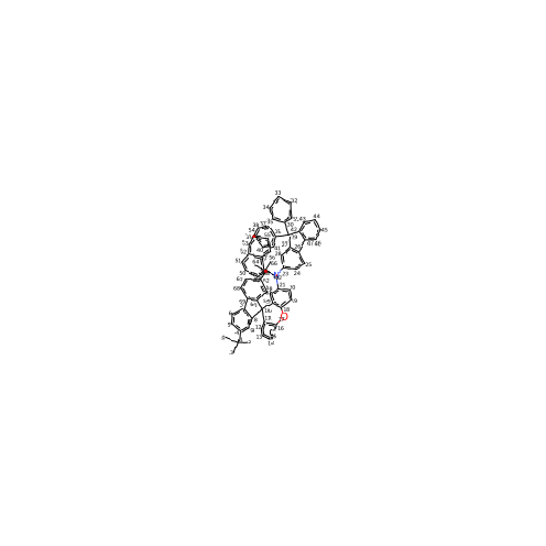 CC(C)(C)c1ccc2c(c1)C1(c3ccccc3Oc3ccc(N(c4ccc5c(c4)C(c4ccccc4)(c4ccccc4)c4ccccc4-5)c4cccc5ccccc45)cc31)c1cc(C(C)(C)C)ccc1-2